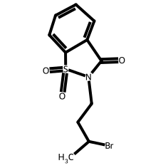 CC(Br)CCN1C(=O)c2ccccc2S1(=O)=O